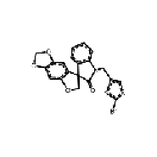 O=C1N(Cc2cnc(Br)s2)c2ccccc2C12COc1cc3c(cc12)OCO3